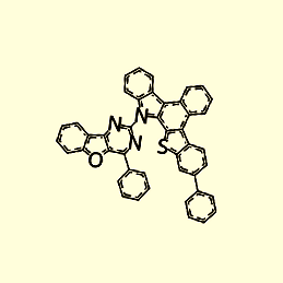 c1ccc(-c2ccc3c(c2)sc2c3c3ccccc3c3c4ccccc4n(-c4nc(-c5ccccc5)c5oc6ccccc6c5n4)c23)cc1